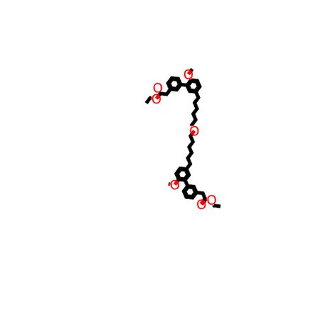 CCOC(=O)Cc1cccc(-c2cc(CCCCCCOCCCCCCc3ccc(OC)c(-c4cccc(CC(=O)OCC)c4)c3)ccc2OC)c1